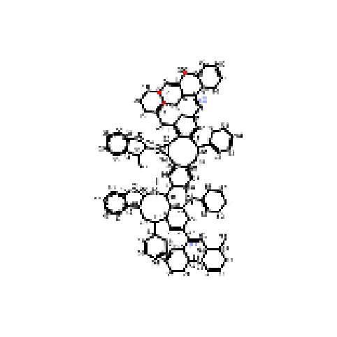 CC1=CCCCC1/C(=C\C1C=C2C(=C(CC3=CCCCC3)C1)C1B(C3Sc4ccccc4C3C)C1C1=CC3C4BC5Sc6ccccc6C5CC(C5C=CC=CC5)C5C=C(/C(=C/C6CC=CCC6C)C6C=CCCC6C)CC(C45)N(C4=CCCCC4)C3C=C1CC2C1=CC=CCC1)C1CC=CCC1C